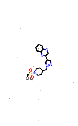 C=CS(=O)(=O)N1CCC(Cn2cc(-c3cnc4ccccc4n3)cn2)CC1